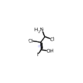 NC(Cl)/C(Cl)=C(\O)I